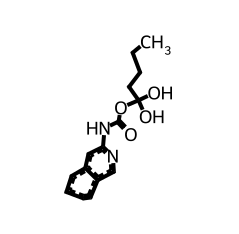 CCCCC(O)(O)OC(=O)Nc1cc2ccccc2cn1